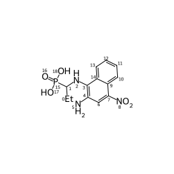 CCC(Nc1c(N)cc([N+](=O)[O-])c2ccccc12)P(=O)(O)O